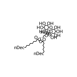 CCCCCCCCCCCCCCCCCC(=O)OC[C@H](COP(=O)(O)O[C@@H]1[C@H](O)[C@@H](O)[C@H](O)[C@@H](O)[C@@H]1OC1O[C@H](CO)[C@@H](O)[C@H](O)[C@@H]1O)OC(=O)CCCCCCCCCCCCCCC